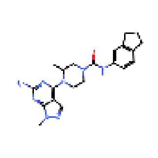 CC1CN(C(=O)Nc2ccc3c(c2)CCC3)CCN1c1nc(N)nc2c1cnn2C